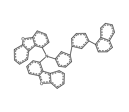 c1cc(-c2cccc(N(c3cccc4oc5ccccc5c34)c3cccc4oc5ccccc5c34)c2)cc(-c2cccc3ccccc23)c1